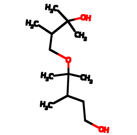 CC(COC(C)(C)C(C)CCO)C(C)(C)O